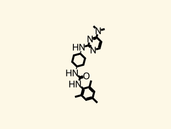 Cc1cc(C)c(NC(=O)N[C@H]2CC[C@@H](Nc3nccc(N(C)C)n3)CC2)c(C)c1